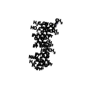 C/C=C/C[C@@H](C)[C@@H](O)[C@@H](C(=O)N[C@H](C(=O)O)[C@@H](C)O)N(C)C(=O)[C@H](C(C)C)N(C)C(=O)[C@H](CC(C)C)NC(=O)[C@H](CC(C)C)N(C)C(=O)[C@@H](C)NC(=O)[C@H](C)NC(=O)[C@H](CC(C)C)N(C)C(=O)[C@H](CC(C)C)NC(=O)[C@H](CC(C)C)N(C)C(=O)[C@@H](C)NC